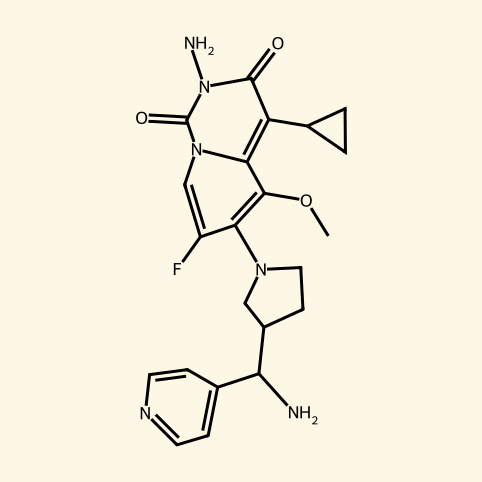 COc1c(N2CCC(C(N)c3ccncc3)C2)c(F)cn2c(=O)n(N)c(=O)c(C3CC3)c12